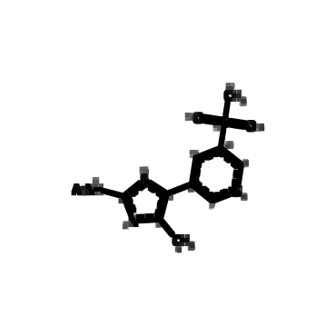 CC(=O)Nc1nc(C)c(-c2cncc(S(C)(=O)=O)c2)s1